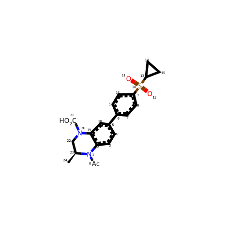 CC(=O)N1c2ccc(-c3ccc(S(=O)(=O)C4CC4)cc3)cc2N(C(=O)O)C[C@@H]1C